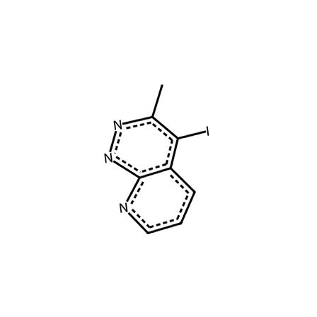 Cc1nnc2ncccc2c1I